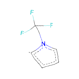 FC(F)(F)n1[c]ccc1